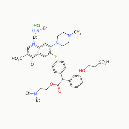 CCN(CC)CCOC(=O)C(c1ccccc1)c1ccccc1.CCn1cc(C(=O)O)c(=O)c2cc(F)c(N3CCN(C)CC3)cc21.Cl.NBr.O=S(=O)(O)CCO